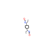 CCC(N=C=O)c1ccc(C(CC)N=C=O)cc1